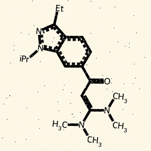 CCc1nn(C(C)C)c2cc(C(=O)C=C(N(C)C)N(C)C)ccc12